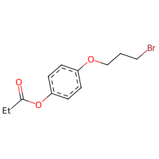 CCC(=O)Oc1ccc(OCCCBr)cc1